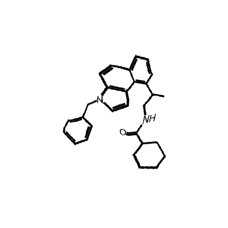 CC(CNC(=O)C1CCCCC1)c1cccc2ccc3c(ccn3Cc3ccccc3)c12